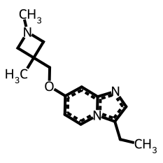 CCc1cnc2cc(OCC3(C)CN(C)C3)ccn12